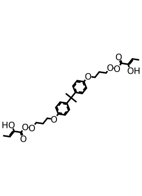 CC=C(O)C(=O)OOCCCOc1ccc(C(C)(C)c2ccc(OCCCOOC(=O)C(O)=CC)cc2)cc1